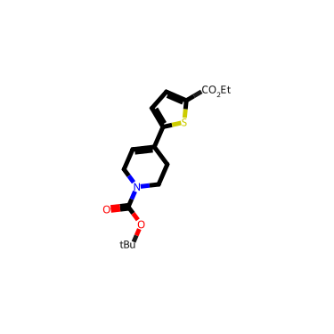 CCOC(=O)c1ccc(C2=CCN(C(=O)OC(C)(C)C)CC2)s1